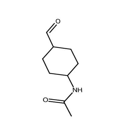 CC(=O)NC1CCC(C=O)CC1